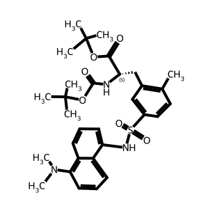 Cc1ccc(S(=O)(=O)Nc2cccc3c(N(C)C)cccc23)cc1C[C@H](NC(=O)OC(C)(C)C)C(=O)OC(C)(C)C